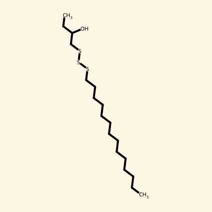 CCCCCCCCCCCCCCSSSCC(O)CC